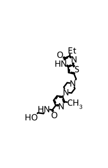 CCc1nc2sc(CN3CCN(c4ccc(C(=O)NCCO)nc4C)CC3)cc2[nH]c1=O